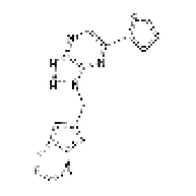 c1csc(-c2cnc3nnn(Cc4cc5cccnc5s4)c3n2)c1